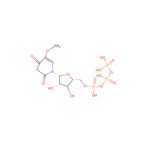 COC1=CN([C@@H]2O[C@H](COP(=O)(O)OP(=O)(O)OP(=O)(O)O)C(O)[C@@H]2O)C(=O)CC1=O